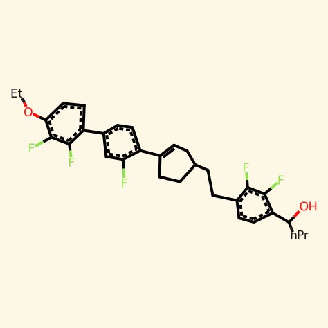 CCCC(O)c1ccc(CCC2CC=C(c3ccc(-c4ccc(OCC)c(F)c4F)cc3F)CC2)c(F)c1F